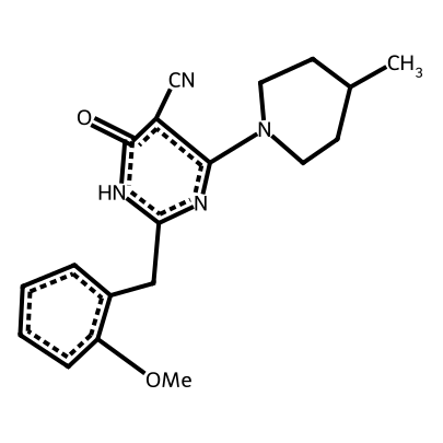 COc1ccccc1Cc1nc(N2CCC(C)CC2)c(C#N)c(=O)[nH]1